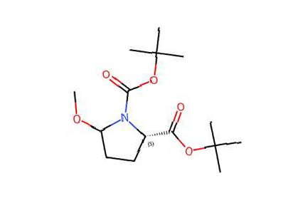 COC1CC[C@@H](C(=O)OC(C)(C)C)N1C(=O)OC(C)(C)C